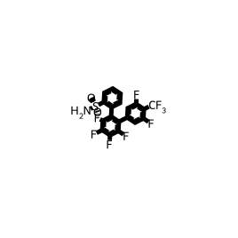 NS(=O)(=O)c1ccccc1-c1c(F)c(F)c(F)c(F)c1-c1cc(F)c(C(F)(F)F)c(F)c1